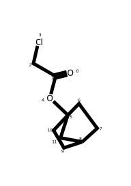 O=C(CCl)OC12CCC(CC1)C2